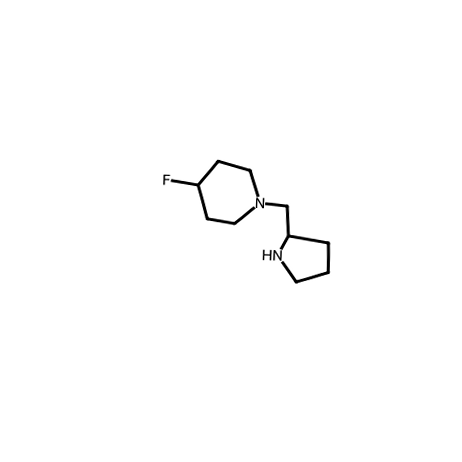 FC1CCN(CC2CCCN2)CC1